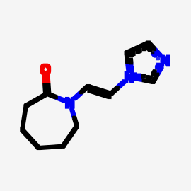 O=C1CCCCCN1C=Cn1ccnc1